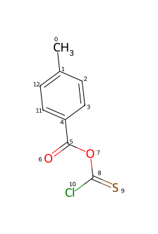 Cc1ccc(C(=O)OC(=S)Cl)cc1